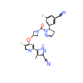 Cc1c(C#N)nn(C)c1-c1cc(OC2CN(C(=O)N3N=CCC3c3cc(F)cc(C#N)c3)C2)c(F)cn1